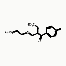 CC(=O)NCCSCC(CC(=O)O)C(=O)c1ccc(C)cc1